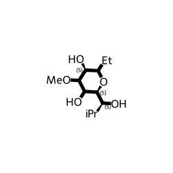 CCC1O[C@@H]([C@@H](O)C(C)C)C(O)C(OC)[C@H]1O